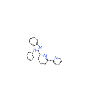 C1=CCCC(n2c(-c3cccc(-c4ccccn4)n3)nc3ccccc32)=C1